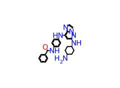 NC1CCC(Nc2cc(Nc3ccc(NC(=O)c4ccccc4)cc3)c3nccn3n2)CC1